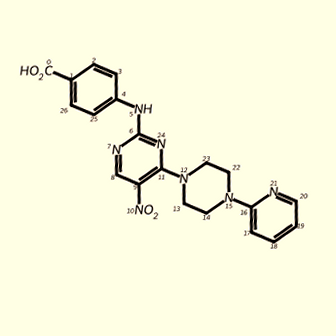 O=C(O)c1ccc(Nc2ncc([N+](=O)[O-])c(N3CCN(c4ccccn4)CC3)n2)cc1